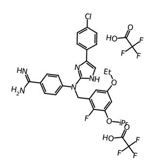 CCOc1cc(CN(c2ccc(C(=N)N)cc2)c2nc(-c3ccc(Cl)cc3)c[nH]2)c(F)c(OC(C)C)c1.O=C(O)C(F)(F)F.O=C(O)C(F)(F)F